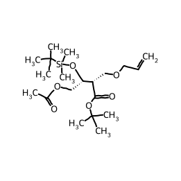 C=CCOC[C@H](C(=O)OC(C)(C)C)[C@H](COC(C)=O)O[Si](C)(C)C(C)(C)C